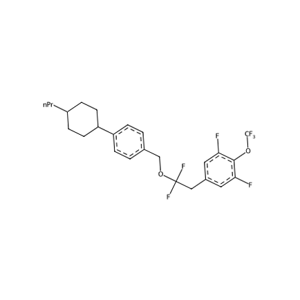 CCCC1CCC(c2ccc(COC(F)(F)Cc3cc(F)c(OC(F)(F)F)c(F)c3)cc2)CC1